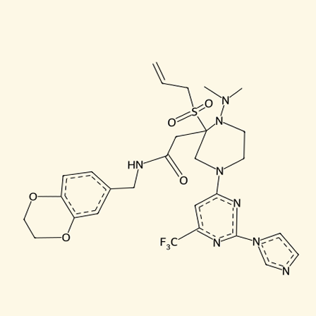 C=CCS(=O)(=O)C1(CC(=O)NCc2ccc3c(c2)OCCO3)CN(c2cc(C(F)(F)F)nc(-n3ccnc3)n2)CCN1N(C)C